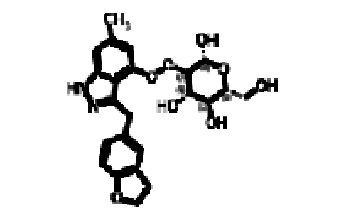 Cc1cc(OO[C@@H]2[C@@H](O)[C@H](O)[C@@H](CO)O[C@H]2O)c2c(Cc3ccc4c(c3)CCO4)n[nH]c2c1